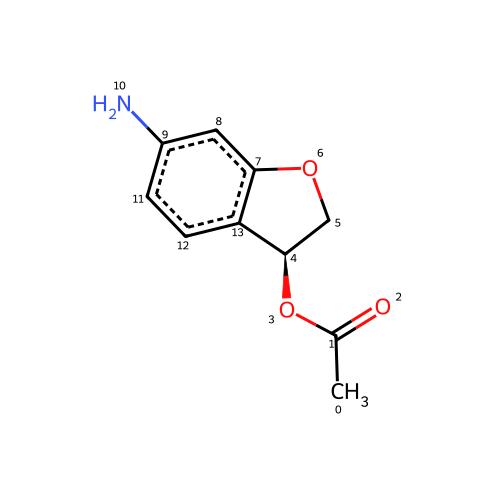 CC(=O)O[C@@H]1COc2cc(N)ccc21